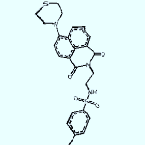 Cc1ccc(S(=O)(=O)NCCN2C(=O)c3cccc4c(N5CCSCC5)ccc(c34)C2=O)cc1